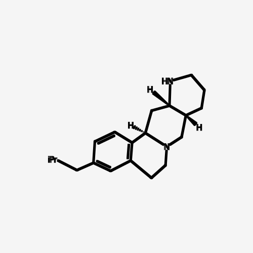 CC(C)Cc1ccc2c(c1)CCN1C[C@H]3CCCN[C@H]3C[C@H]21